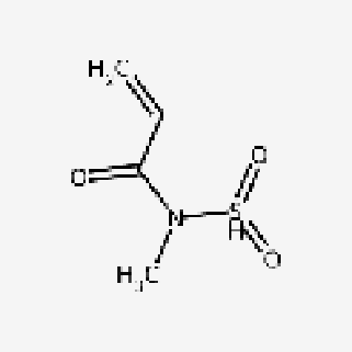 C=CC(=O)N(C)[SH](=O)=O